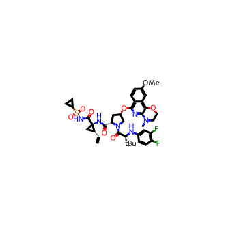 C=C[C@@H]1C[C@]1(NC(=O)[C@@H]1C[C@@H](Oc2nc3c(c4cc(OC)ccc24)OCCN3C)CN1C(=O)[C@@H](Nc1ccc(F)c(F)c1)C(C)(C)C)C(=O)NS(=O)(=O)C1CC1